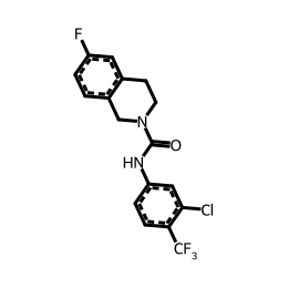 O=C(Nc1ccc(C(F)(F)F)c(Cl)c1)N1CCc2cc(F)ccc2C1